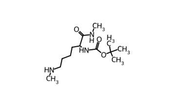 CNCCCCC(NC(=O)OC(C)(C)C)C(=O)NC